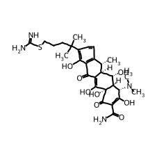 C[C@H]1c2ccc(C(C)(C)CCCSC(=N)N)c(O)c2C(=O)C2=C(O)[C@]3(O)C(=O)C(C(N)=O)=C(O)[C@@H](N(C)C)[C@@H]3[C@@H](O)[C@@H]21